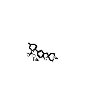 CC1CC=C(c2ccc3c(c2)CC2(CCN(C)CC2)O3)N(C(=O)OC(C)(C)C)C1